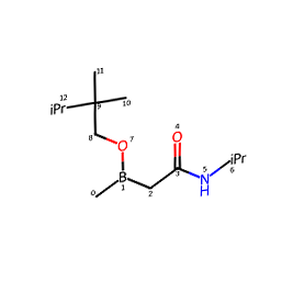 CB(CC(=O)NC(C)C)OCC(C)(C)C(C)C